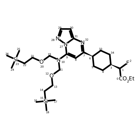 CCOC(=O)C(F)[C@H]1CC[C@@H](c2cc(N(COCC[Si](C)(C)C)COCC[Si](C)(C)C)n3nccc3n2)CC1